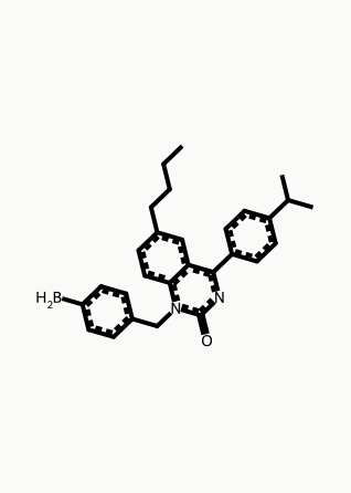 Bc1ccc(Cn2c(=O)nc(-c3ccc(C(C)C)cc3)c3cc(CCCC)ccc32)cc1